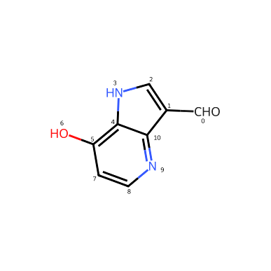 O=Cc1c[nH]c2c(O)ccnc12